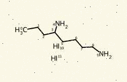 CCCC(N)CCCCN.I.I